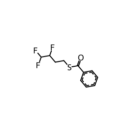 O=C(SCCC(F)C(F)F)c1ccccc1